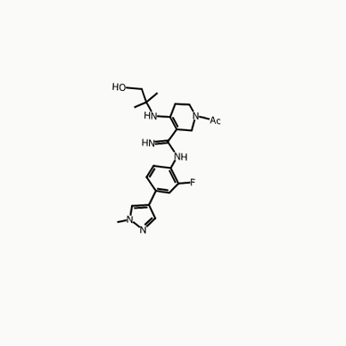 CC(=O)N1CCC(NC(C)(C)CO)=C(C(=N)Nc2ccc(-c3cnn(C)c3)cc2F)C1